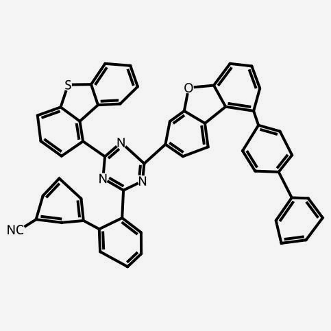 N#Cc1cccc(-c2ccccc2-c2nc(-c3ccc4c(c3)oc3cccc(-c5ccc(-c6ccccc6)cc5)c34)nc(-c3cccc4sc5ccccc5c34)n2)c1